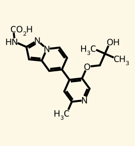 Cc1cc(-c2ccn3nc(NC(=O)O)cc3c2)c(OCC(C)(C)O)cn1